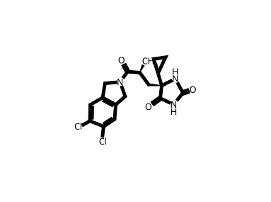 C[C@@H](C[C@@]1(C2CC2)NC(=O)NC1=O)C(=O)N1Cc2cc(Cl)c(Cl)cc2C1